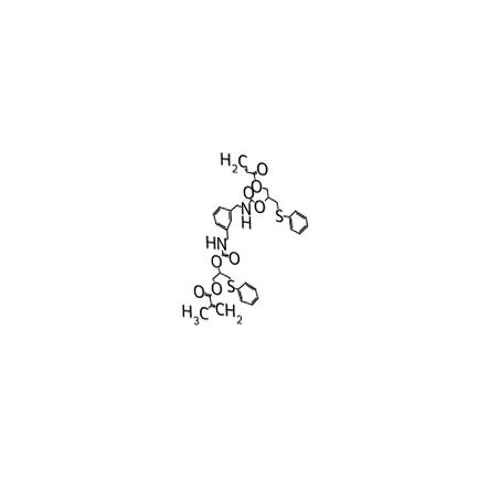 C=CC(=O)OCC(CSc1ccccc1)OC(=O)NCc1cccc(CNC(=O)OC(COC(=O)C(=C)C)CSc2ccccc2)c1